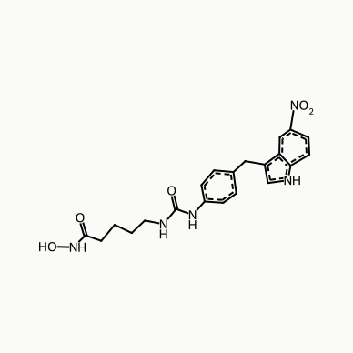 O=C(CCCCNC(=O)Nc1ccc(Cc2c[nH]c3ccc([N+](=O)[O-])cc23)cc1)NO